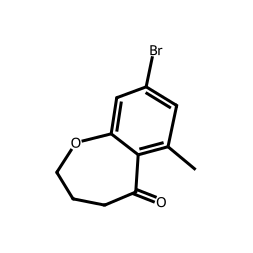 Cc1cc(Br)cc2c1C(=O)CCCO2